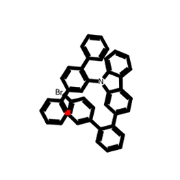 Brc1ccc(-c2ccccc2-c2ccc3c4ccccc4n(-c4cc(-c5ccccc5)ccc4-c4ccccc4)c3c2)cc1